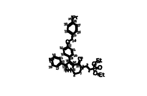 CCOP(=O)(CCN1CCn2nc(-c3ccncc3)c(-c3ccc(OCc4ccc(C(C)C)cc4)cc3)c2C1=O)OCC